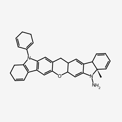 C[C@]12C=CC=CC1C1=CC3Cc4cc5c(cc4OC3C=C1N2N)c1c(n5C2=CCCC=C2)CCC=C1